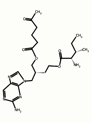 CC[C@H](C)[C@H](N)C(=O)OCC[C@@H](COC(=O)CCCC(C)=O)Cn1cnc2cnc(N)nc21